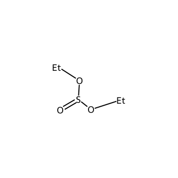 CCOS(=O)OCC